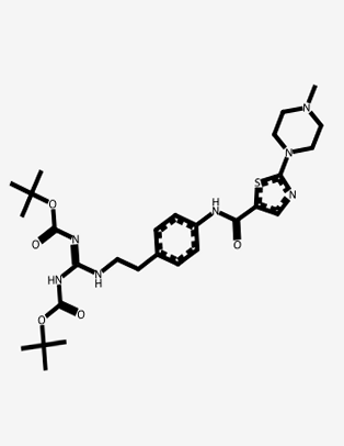 CN1CCN(c2ncc(C(=O)Nc3ccc(CCNC(=NC(=O)OC(C)(C)C)NC(=O)OC(C)(C)C)cc3)s2)CC1